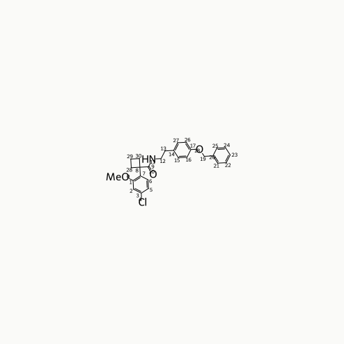 COc1cc(Cl)ccc1C1(C(=O)NCCc2ccc(OCc3ccccc3)cc2)CCC1